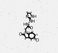 O=C(CN1C(=O)Cc2cc(Cl)ccc21)NNC1=NCCN1